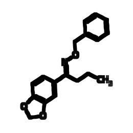 CCC/C(=N\OCc1ccccc1)c1ccc2c(c1)OCO2